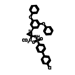 O=C(O)C1(NS(=O)(=O)c2ccc(-c3ccc(Cl)cc3)cc2)C[C@H]1c1cc(Oc2ccccc2)cc(Oc2ccccc2)c1